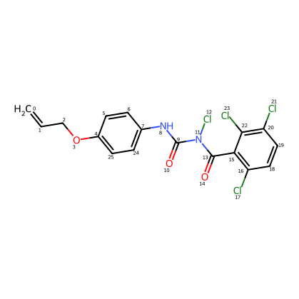 C=CCOc1ccc(NC(=O)N(Cl)C(=O)c2c(Cl)ccc(Cl)c2Cl)cc1